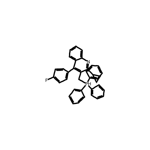 Fc1ccc(-c2c(C[PH](c3ccccc3)(c3ccccc3)c3ccccc3)c(C3CC3)nc3ccccc23)cc1